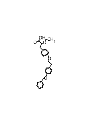 CCOC(Cc1ccc(OCCc2ccc(OCc3ccccc3)cc2)cc1)C(=O)O